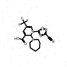 N#Cc1noc(N2C=C(C(F)(F)F)C=C(C(=O)O)C2N2CCCCCC2)n1